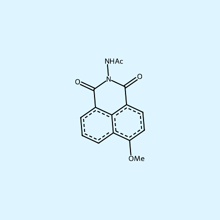 COc1ccc2c3c(cccc13)C(=O)N(NC(C)=O)C2=O